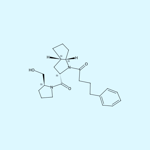 O=C([C@@H]1C[C@@H]2CCC[C@@H]2N1C(=O)CCCc1ccccc1)N1CCC[C@H]1CO